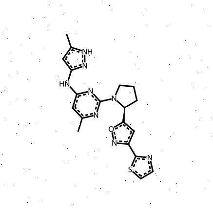 Cc1cc(Nc2cc(C)[nH]n2)nc(N2CCC[C@H]2c2cc(-c3nccs3)no2)n1